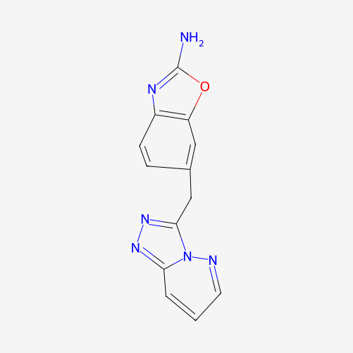 Nc1nc2ccc(Cc3nnc4cccnn34)cc2o1